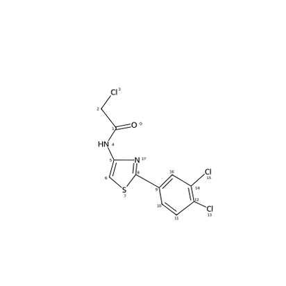 O=C(CCl)Nc1csc(-c2ccc(Cl)c(Cl)c2)n1